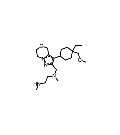 CCC1(COC)CCC(c2c(CN(C)CCNC)nn3c2COCC3)CC1